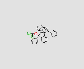 [Cl][Ti]([Cl])[O]C(c1ccccc1)(c1ccccc1)c1ccccc1C1C(c2ccccc2)=Cc2ccccc21